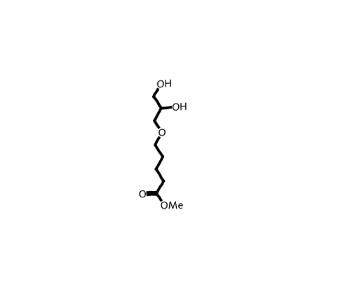 COC(=O)CCCCOCC(O)CO